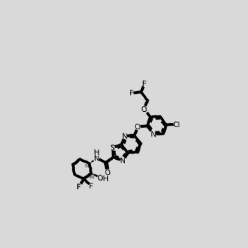 O=C(N[C@H]1CCCC(F)(F)[C@@H]1O)c1nc2ccc(Oc3ncc(Cl)cc3OCC(F)F)nc2s1